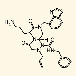 C=CCN1CC(=O)N2[C@@H](CCCN)C(=O)N(Cc3cccc4scnc34)C[C@@H]2N1C(=O)NCc1ccccc1